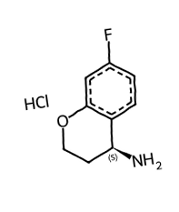 Cl.N[C@H]1CCOc2cc(F)ccc21